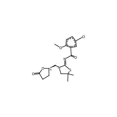 COc1ccc(Cl)cc1C(=O)N=C1SC(C)(C)CN1C[C@H]1CCC(=O)O1